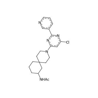 CC(=O)NC1CCCC2(CCN(c3cc(Cl)nc(-c4cccnc4)n3)CC2)C1